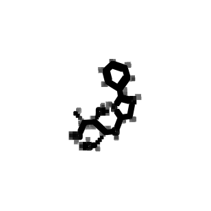 C[C@@H](O)[C@H](O)[C@@H](CO)OC1CN=C(c2ccccc2)S1